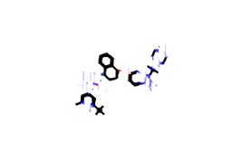 [CH2]c1cc(NC(=O)N[C@H]2CC[C@@H](Oc3ccc4nnc(C(C)(C)N5CCN(C)CC5)n4c3)c3ccccc32)cc(C(C)(C)C)n1